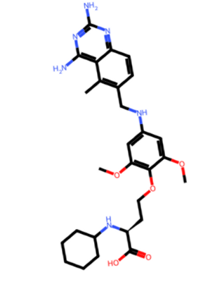 COc1cc(NCc2ccc3nc(N)nc(N)c3c2C)cc(OC)c1OCC[C@H](NC1CCCCC1)C(=O)O